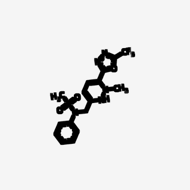 CN1NC(CN(c2ccccc2)S(C)(=O)=O)=CC=C1c1nnc(C(F)(F)F)o1